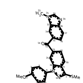 COc1ccc(-n2nc(SC)c3ccc(C(=O)c4ccc5ncn(C)c5c4)cc32)cc1